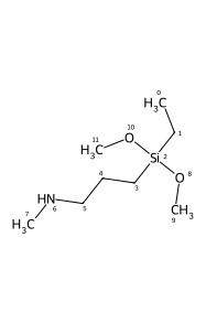 CC[Si](CCCNC)(OC)OC